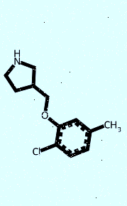 Cc1ccc(Cl)c(OCC2CCNC2)c1